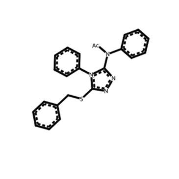 CC(=O)N(c1ccccc1)c1nnc(SCc2ccccc2)n1-c1ccccc1